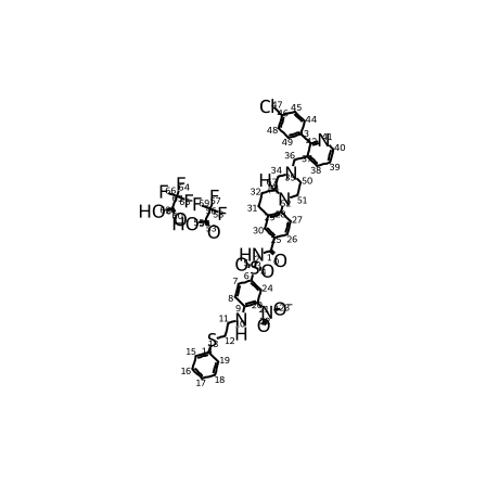 O=C(NS(=O)(=O)c1ccc(NCCSc2ccccc2)c([N+](=O)[O-])c1)c1ccc2c(c1)CC[C@H]1CN(Cc3cccnc3-c3ccc(Cl)cc3)CCN21.O=C(O)C(F)(F)F.O=C(O)C(F)(F)F